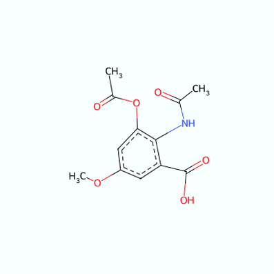 COc1cc(OC(C)=O)c(NC(C)=O)c(C(=O)O)c1